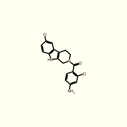 Nc1ccc(C(=O)N2CCc3c([nH]c4ccc(Cl)cc34)C2)c(Cl)c1